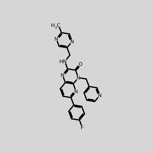 Cc1cnc(CNc2nc3ccc(-c4ccc(F)cc4)nc3n(Cc3cccnc3)c2=O)cn1